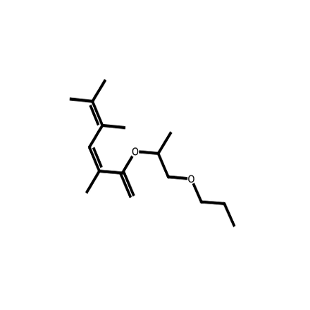 C=C(OC(C)COCCC)/C(C)=C\C(C)=C(C)C